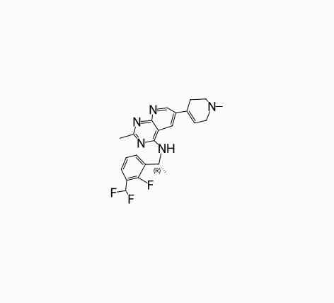 Cc1nc(N[C@H](C)c2cccc(C(F)F)c2F)c2cc(C3=CCN(C)CC3)cnc2n1